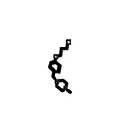 CN1CCN(Cc2ccc(OCCCCl)cc2)CC1